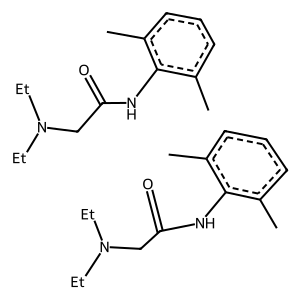 CCN(CC)CC(=O)Nc1c(C)cccc1C.CCN(CC)CC(=O)Nc1c(C)cccc1C